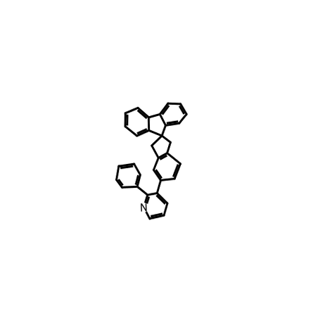 c1ccc(-c2ncccc2-c2ccc3c(c2)CC2(C3)c3ccccc3-c3ccccc32)cc1